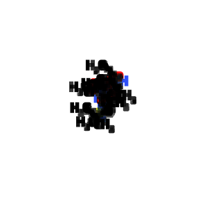 C=CCCCCS(=O)(=O)NC(=O)[C@@]1(NC(=O)[C@@H]2C[C@@H](Oc3nc4c(-c5nc(C(C)C)c(CCC=C)s5)cccc4n3C(C)C)CN2C(=O)[C@@H](NC(=O)OC(C)(C)C)C(C)(C)C)C[C@H]1CC